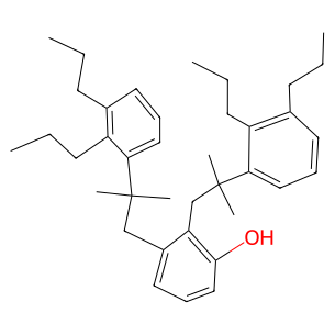 CCCc1cccc(C(C)(C)Cc2cccc(O)c2CC(C)(C)c2cccc(CCC)c2CCC)c1CCC